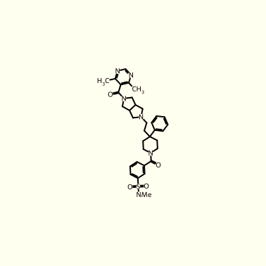 CNS(=O)(=O)c1cccc(C(=O)N2CCC(CCN3CC4CN(C(=O)c5c(C)ncnc5C)CC4C3)(c3ccccc3)CC2)c1